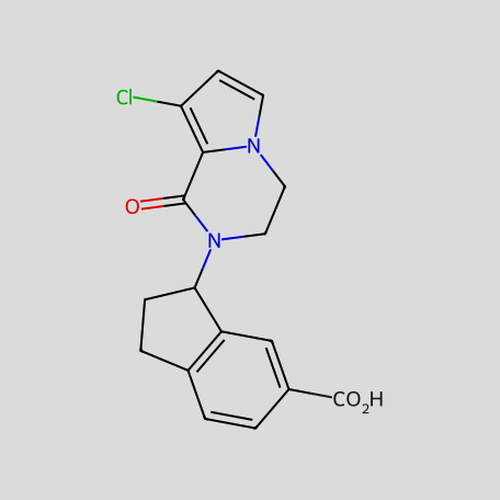 O=C(O)c1ccc2c(c1)C(N1CCn3ccc(Cl)c3C1=O)CC2